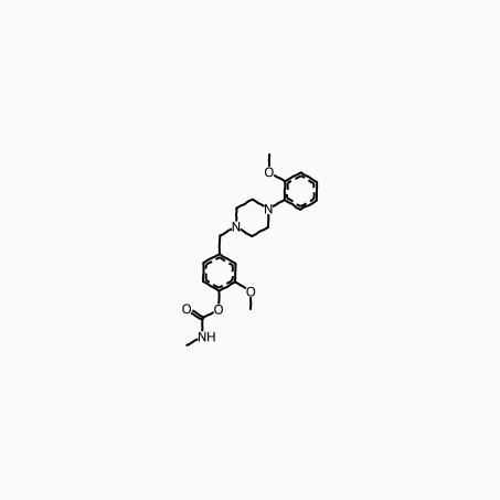 CNC(=O)Oc1ccc(CN2CCN(c3ccccc3OC)CC2)cc1OC